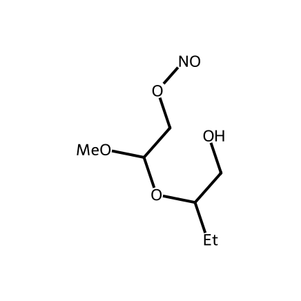 CCC(CO)OC(CON=O)OC